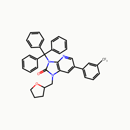 O=c1n(CC2CCCO2)c2cc(-c3cccc(C(F)(F)F)c3)cnc2n1C(c1ccccc1)(c1ccccc1)c1ccccc1